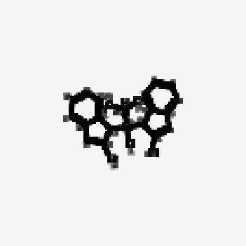 CCC1=Cc2ccccc2[CH]1[Sc]([Cl])([CH]1C(CC)=Cc2ccccc21)[SiH](C)C